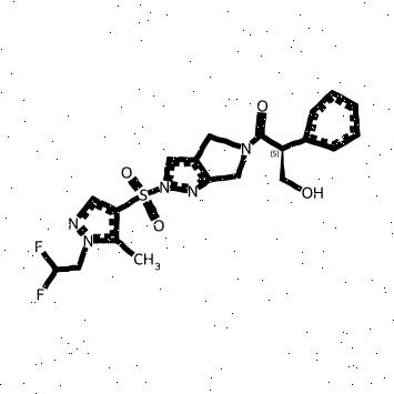 Cc1c(S(=O)(=O)n2cc3c(n2)CN(C(=O)[C@H](CO)c2ccccc2)C3)cnn1CC(F)F